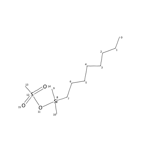 CCCCCCCC[Si](C)(C)OS(C)(=O)=O